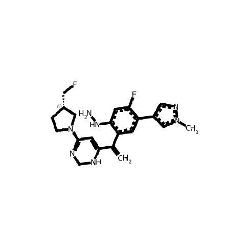 C=C(C1=CC(N2CC[C@H](CF)C2)=NCN1)c1cc(-c2cnn(C)c2)c(F)cc1NN